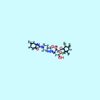 O=C(O)C[C@H](NC(=O)C1CCN(c2nc3cc(F)ccc3o2)CC1)C(=O)COc1c(F)c(F)cc(F)c1F